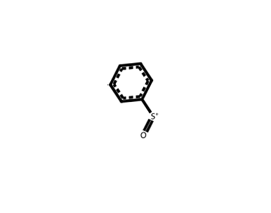 O=[S+]c1c[c]ccc1